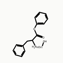 CCCCCCCCO.NC(Cc1ccccc1)C(=O)Oc1ccccc1